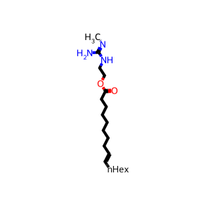 CCCCCCC=CCCCCCCCC(=O)OCCN/C(N)=N/C